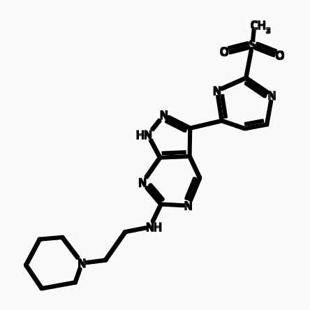 CS(=O)(=O)c1nccc(-c2n[nH]c3nc(NCCN4CCCCC4)ncc23)n1